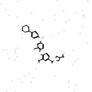 Cc1cc(N(C)c2ccc(C3CCCCC3)cc2)ccc1Nc1ccc(C(=O)N2CC(C(N)=O)C2)cc1C(=O)O